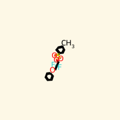 Cc1ccc(S(=O)(=O)OCC(F)(F)COc2ccccc2)cc1